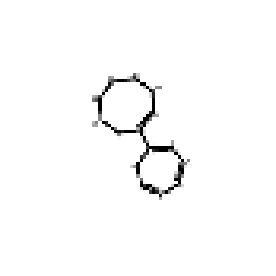 [C]1=C(/C2=CC=CC=CC2)CCCCCC/1